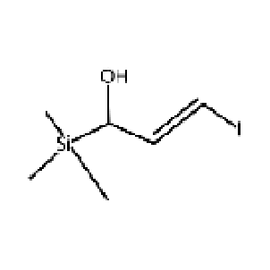 C[Si](C)(C)C(O)C=CI